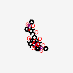 Cc1cc(C)c(C(=O)P(=O)(c2ccccc2)c2ccccc2)c(C)c1C(=O)C1CC(C(=O)c2c(C)cc(C)c(C(=O)P(=O)(c3ccccc3)c3ccccc3)c2C)CC(C(=O)c2c(C)cc(C)c(C(=O)P(=O)(c3ccccc3)c3ccccc3)c2C)C1